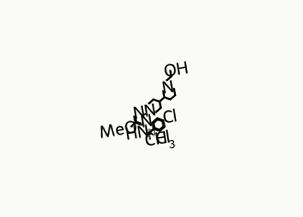 COc1cnc(N2CCC(C3CCCN(CCO)C3)CC2)nc1N[C@H](C)c1ccc(Cl)cc1Cl